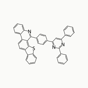 c1ccc(-c2cc(-c3ccc(-c4nc5ccccc5c5ccc6c7ccccc7sc6c45)cc3)nc(-c3ccccc3)n2)cc1